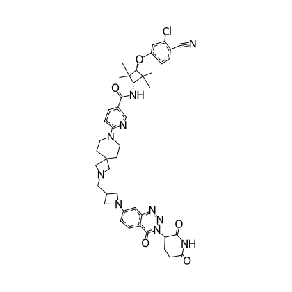 CC1(C)[C@H](NC(=O)c2ccc(N3CCC4(CC3)CN(CC3CN(c5ccc6c(=O)n(C7CCC(=O)NC7=O)nnc6c5)C3)C4)nc2)C(C)(C)[C@H]1Oc1ccc(C#N)c(Cl)c1